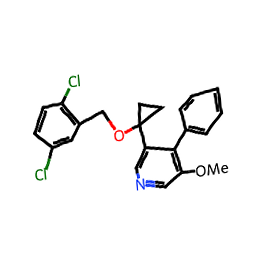 COc1cncc(C2(OCc3cc(Cl)ccc3Cl)CC2)c1-c1ccccc1